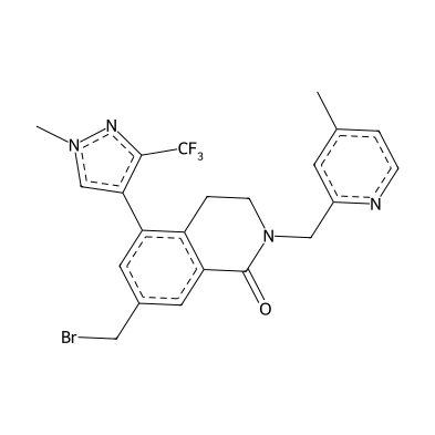 Cc1ccnc(CN2CCc3c(cc(CBr)cc3-c3cn(C)nc3C(F)(F)F)C2=O)c1